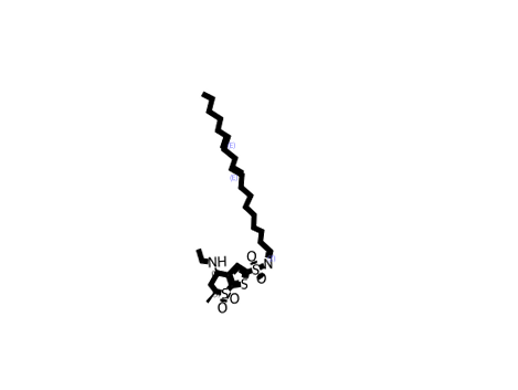 CCCCC/C=C/C/C=C/CCCCCCC/C=N\S(=O)(=O)c1cc2c(s1)S(=O)(=O)[C@@H](C)C[C@@H]2NCC